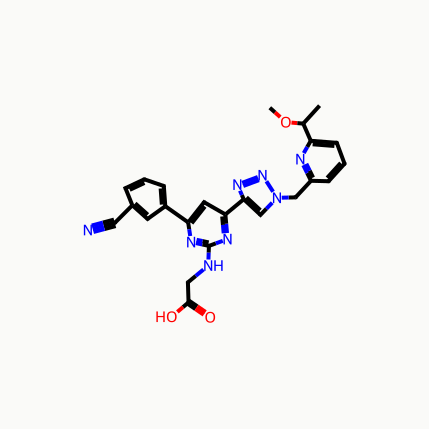 COC(C)c1cccc(Cn2cc(-c3cc(-c4cccc(C#N)c4)nc(NCC(=O)O)n3)nn2)n1